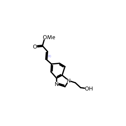 COC(=O)/C=C/c1ccc2c(c1)ncn2CCO